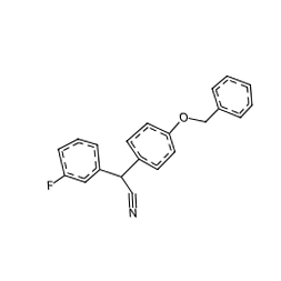 N#CC(c1ccc(OCc2ccccc2)cc1)c1cccc(F)c1